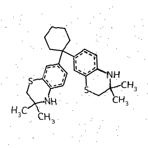 CC1(C)CSc2cc(C3(c4ccc5c(c4)SCC(C)(C)N5)CCCCC3)ccc2N1